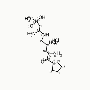 C[N+]([O-])(O)CC(N)NCCC[C@H](N)C(=O)N1CCCC1.Cl.Cl